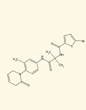 Cc1cc(NC(=O)C(C)(C)NC(=O)c2ccc(Br)s2)ccc1N1CC=CCC1=O